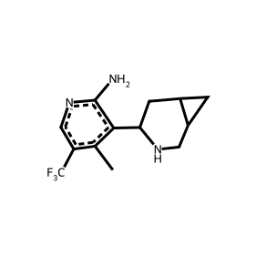 Cc1c(C(F)(F)F)cnc(N)c1C1CC2CC2CN1